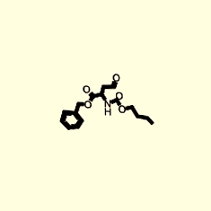 CCCCOC(=O)NC(CC=O)C(=O)OCc1ccccc1